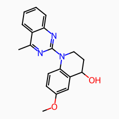 COc1ccc2c(c1)C(O)CCN2c1nc(C)c2ccccc2n1